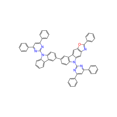 c1ccc(-c2cc(-c3ccccc3)nc(-n3c4ccccc4c4cc(-c5ccc6c(c5)c5cc7oc(-c8ccccc8)nc7cc5n6-c5nc(-c6ccccc6)cc(-c6ccccc6)n5)ccc43)n2)cc1